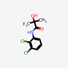 CC(O)(C(=O)Nc1cccc(Cl)c1Cl)C(F)(F)F